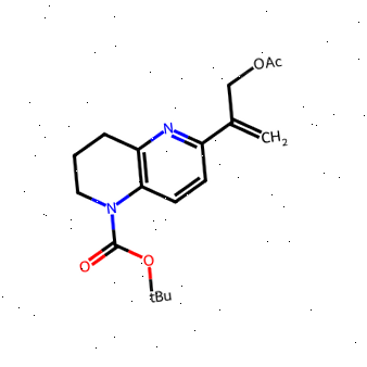 C=C(COC(C)=O)c1ccc2c(n1)CCCN2C(=O)OC(C)(C)C